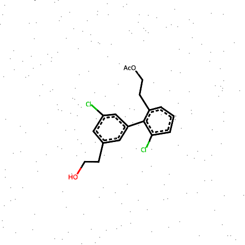 CC(=O)OCCc1c[c]cc(Cl)c1-c1cc(Cl)cc(CCO)c1